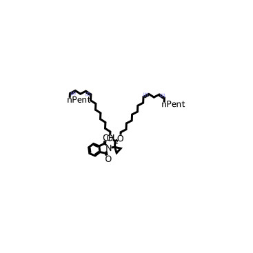 C=C1c2ccccc2C(=O)N1C1(C(OCCCCCCCC/C=C\C/C=C\CCCCC)OCCCCCCCC/C=C\C/C=C\CCCCC)CC1